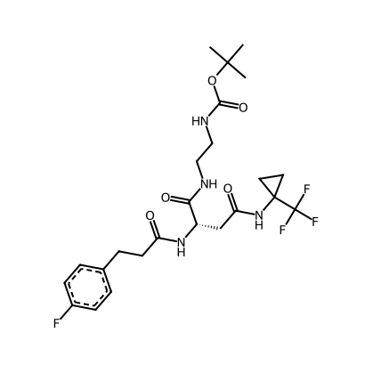 CC(C)(C)OC(=O)NCCNC(=O)[C@H](CC(=O)NC1(C(F)(F)F)CC1)NC(=O)CCc1ccc(F)cc1